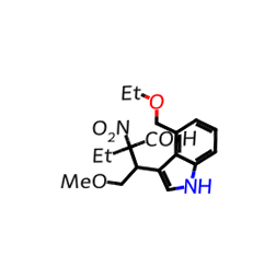 CCOCc1cccc2[nH]cc(C(COC)C(CC)(C(=O)O)[N+](=O)[O-])c12